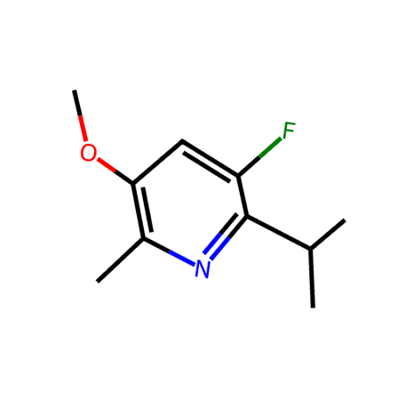 COc1cc(F)c(C(C)C)nc1C